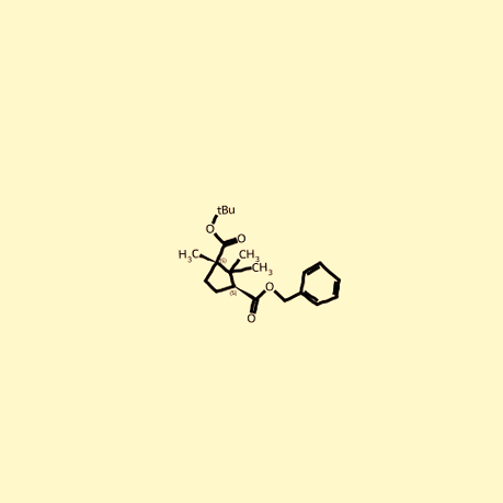 CC(C)(C)OC(=O)[C@@]1(C)CC[C@H](C(=O)OCc2ccccc2)C1(C)C